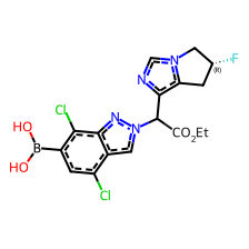 CCOC(=O)C(c1ncn2c1C[C@@H](F)C2)n1cc2c(Cl)cc(B(O)O)c(Cl)c2n1